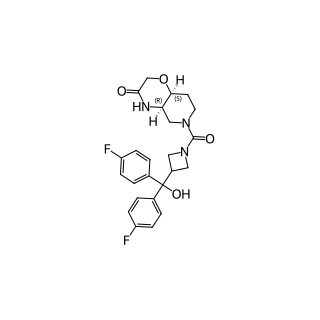 O=C1CO[C@H]2CCN(C(=O)N3CC(C(O)(c4ccc(F)cc4)c4ccc(F)cc4)C3)C[C@H]2N1